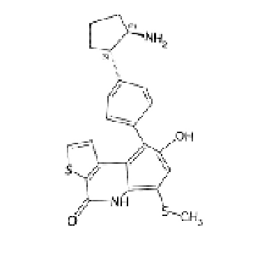 CSc1cc(O)c(-c2ccc([C@@H]3CCC[C@H]3N)cc2)c2c1[nH]c(=O)c1sccc12